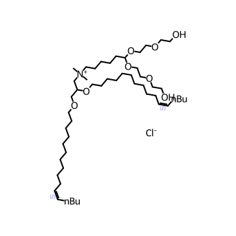 CCCC/C=C\CCCCCCCCCCOCC(C[N+](C)(C)CCCCCC(OCCOCCO)OCCOCCO)OCCCCCCCCCC/C=C\CCCC.[Cl-]